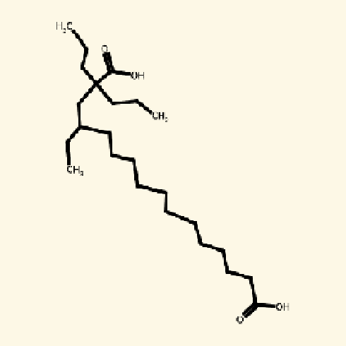 CCCC(CCC)(CC(CC)CCCCCCCCCCCC(=O)O)C(=O)O